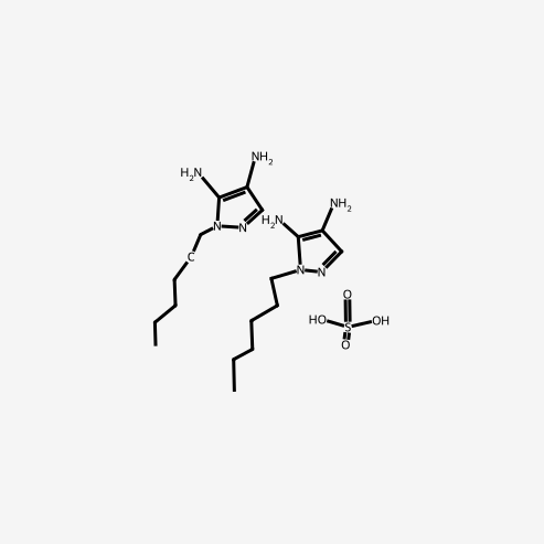 CCCCCCn1ncc(N)c1N.CCCCCCn1ncc(N)c1N.O=S(=O)(O)O